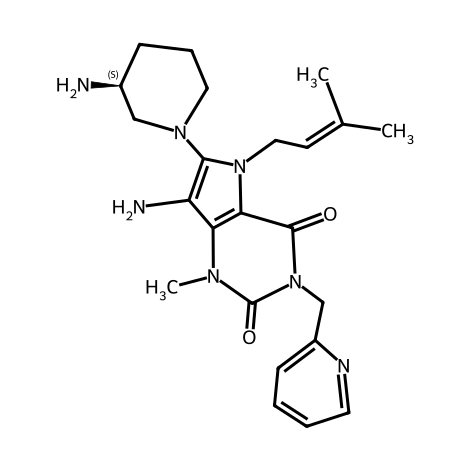 CC(C)=CCn1c(N2CCC[C@H](N)C2)c(N)c2c1c(=O)n(Cc1ccccn1)c(=O)n2C